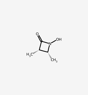 C[C@@H]1C(=O)N(O)[C@@H]1C